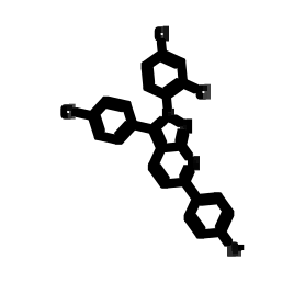 Clc1ccc(-c2c3ccc(-c4ccc(Br)cc4)nc3nn2-c2ccc(Cl)cc2Cl)cc1